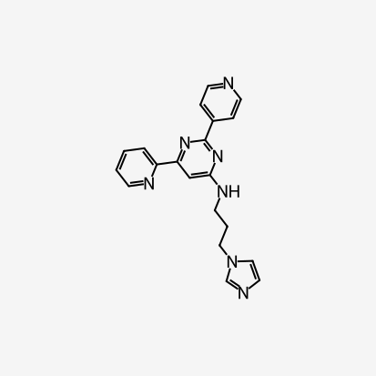 c1ccc(-c2cc(NCCCn3ccnc3)nc(-c3ccncc3)n2)nc1